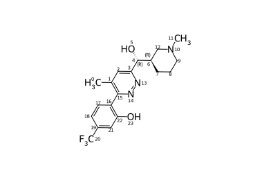 Cc1cc([C@H](O)[C@@H]2CCCN(C)C2)nnc1-c1ccc(C(F)(F)F)cc1O